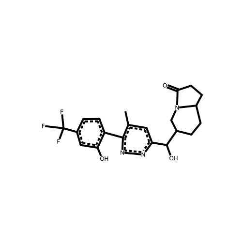 Cc1cc(C(O)C2CCC3CCC(=O)N3C2)nnc1-c1ccc(C(F)(F)F)cc1O